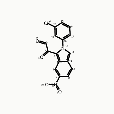 O=CC(=O)c1c2cc([N+](=O)[O-])ccc2cn1-c1cccc(Cl)c1